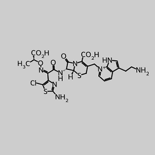 C[C@H](O/N=C(\C(=O)N[C@@H]1C(=O)N2C(C(=O)O)=C(C[n+]3cccc4c(CCN)c[nH]c43)CS[C@H]12)c1nc(N)sc1Cl)C(=O)O